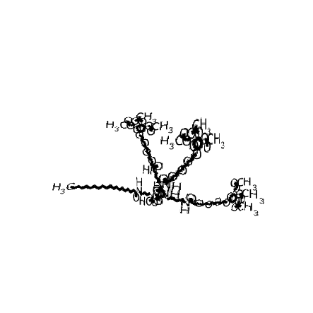 CCCCCCCCCCCCCCCCCCCC(=O)NCCCC[C@H](NC(=O)[C@H](CCCCNC(=O)COCCOCCOCCO[C@H]1C[C@@H](OC(C)=O)[C@@H](OC(C)=O)[C@@H](COC(C)=O)O1)NC(=O)[C@H](CCCCNC(=O)COCCOCCOCCO[C@H]1C[C@@H](OC(C)=O)[C@@H](OC(C)=O)[C@@H](COC(C)=O)O1)NC(=O)COCCOCCOCCO[C@H]1C[C@@H](OC(C)=O)[C@@H](OC(C)=O)[C@@H](COC(C)=O)O1)C(=O)O